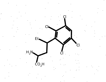 CCC(CC(N)C(=O)O)c1c(Cl)c(Cl)cc(Cl)c1Cl